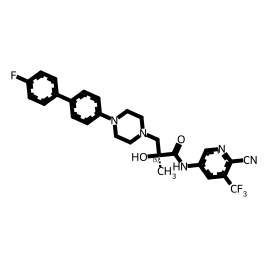 C[C@](O)(CN1CCN(c2ccc(-c3ccc(F)cc3)cc2)CC1)C(=O)Nc1cnc(C#N)c(C(F)(F)F)c1